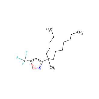 CCCCCCCC(C)(CCCCC)c1cc(C(F)(F)F)on1